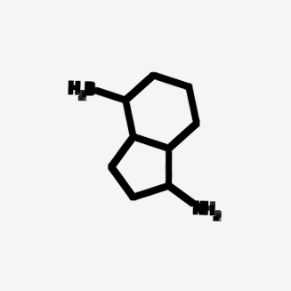 BC1CCCC2C(N)CCC12